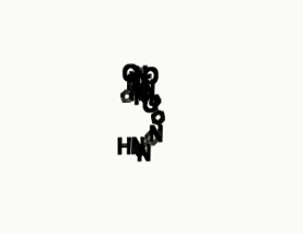 Cn1c(=O)nc2n(C3CCCC3)nc(-c3ccc(-c4ccc(CN5CCC(c6ncc[nH]6)CC5)cc4)o3)nc-2c1=O